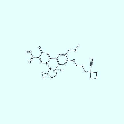 COCc1cc2c(cc1OCCCC1(C#N)CCC1)[C@H]1CCC3(CC3)N1n1cc(C(=O)O)c(=O)cc1-2